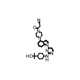 CC(C)(O)C1CCC(Nc2nccc(-n3ccc4c(N5CCN(C(=O)CC#N)CC5)cccc43)n2)CC1